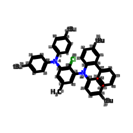 Cc1cc(N(c2ccc(C(C)(C)C)cc2)c2ccc(C(C)(C)C)cc2)c(Cl)c(N(c2ccc(C(C)(C)C)cc2)c2ccc(C(C)(C)C)cc2-c2ccccc2)c1